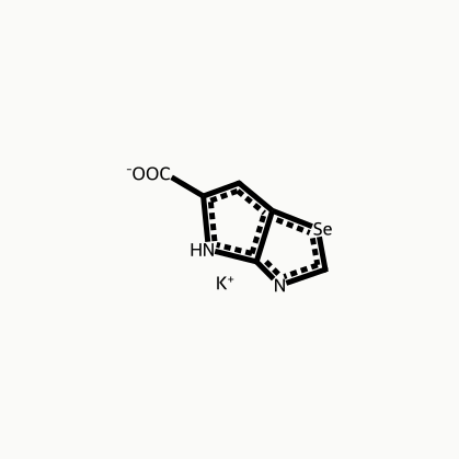 O=C([O-])c1cc2[se]cnc2[nH]1.[K+]